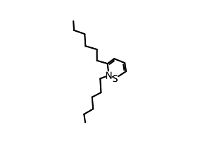 CCCCCCC1=CC=CSN1CCCCCC